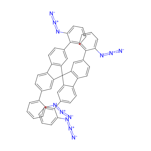 [N-]=[N+]=Nc1ccccc1-c1ccc2c(c1)C1(c3cc(-c4ccccc4N=[N+]=[N-])ccc3-2)c2cc(-c3ccccc3N=[N+]=[N-])ccc2-c2ccc(-c3ccccc3N=[N+]=[N-])cc21